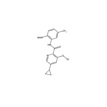 CCSc1cc(C2CC2)cnc1C(=O)Nc1cc(C(F)(F)F)ccc1NC